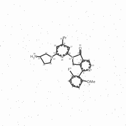 COc1cccc(F)c1-c1nccc2c1CN(c1cc(C(C)C)cc(N3CCC(N)C3)n1)C2=O